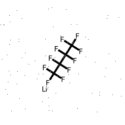 FC(F)(F)C(F)(F)C(F)(F)C(F)(F)F.[Li]